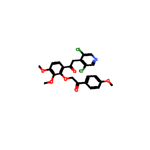 COc1ccc(C(=O)COc2c(C(=O)Cc3c(Cl)cncc3Cl)ccc(OC)c2OC)cc1